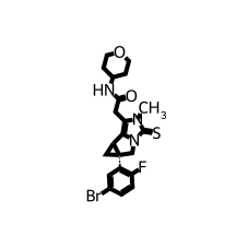 Cn1c(CC(=O)NC2CCOCC2)c2n(c1=S)C[C@@]1(c3cc(Br)ccc3F)CC21